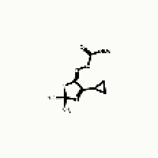 CNC(=O)ON=C1SC(C)(C)N=C1C1CC1